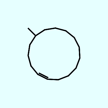 CC1CCCC=CCCCCCCCCC1